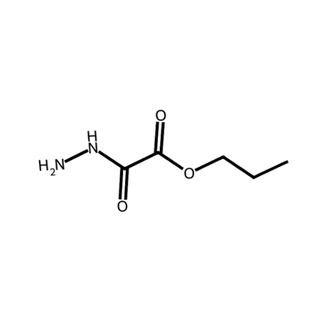 CCCOC(=O)C(=O)NN